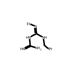 CCN=C(NCC(C)C)NC(=N)N